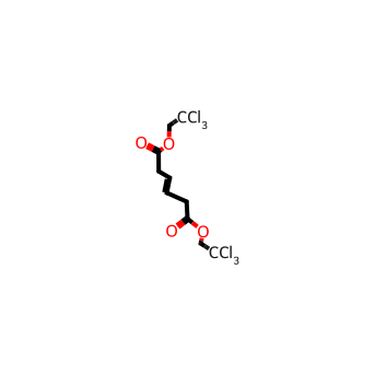 O=C(CC=CCC(=O)OCC(Cl)(Cl)Cl)OCC(Cl)(Cl)Cl